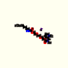 CCCCCCCCCCCCCCCNC(=O)OCCOCCOCCOC(=O)N(Cc1cccc[n+]1CC)C(C)=O.[I-]